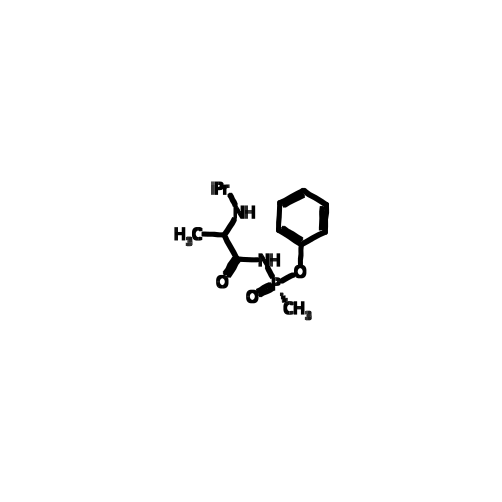 CC(C)NC(C)C(=O)N[P@](C)(=O)Oc1ccccc1